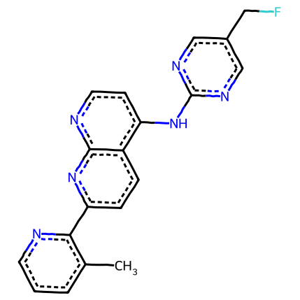 Cc1cccnc1-c1ccc2c(Nc3ncc(CF)cn3)ccnc2n1